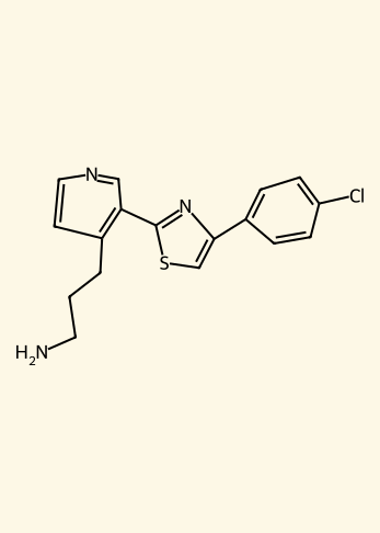 NCCCc1ccncc1-c1nc(-c2ccc(Cl)cc2)cs1